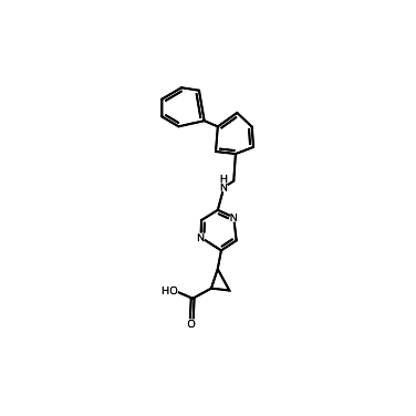 O=C(O)C1CC1c1cnc(NCc2cccc(-c3ccccc3)c2)cn1